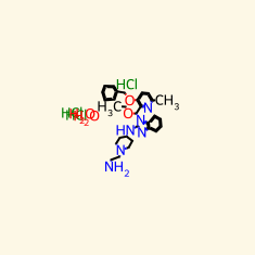 CCOC(c1nc(C)ccc1OCc1ccccc1)n1c(NC2CCN(CCN)CC2)nc2ccccc21.Cl.Cl.Cl.O.O